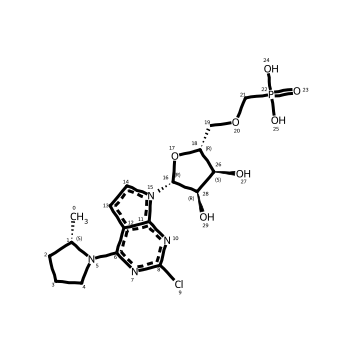 C[C@H]1CCCN1c1nc(Cl)nc2c1ccn2[C@@H]1O[C@H](COCP(=O)(O)O)[C@@H](O)[C@H]1O